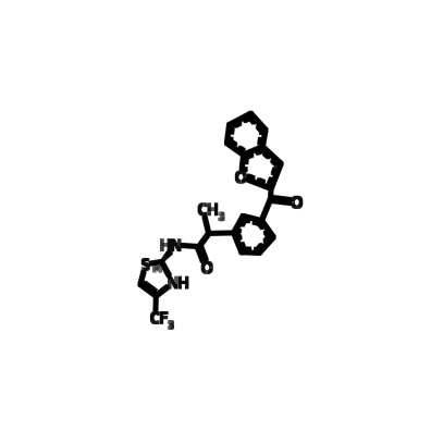 CC(C(=O)N[C@H]1NC(C(F)(F)F)=CS1)c1cccc(C(=O)c2cc3ccccc3o2)c1